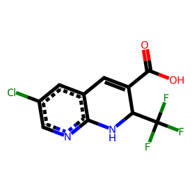 O=C(O)C1=Cc2cc(Cl)cnc2NC1C(F)(F)F